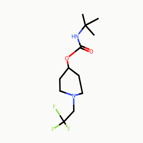 CC(C)(C)NC(=O)OC1CCN(CC(F)(F)F)CC1